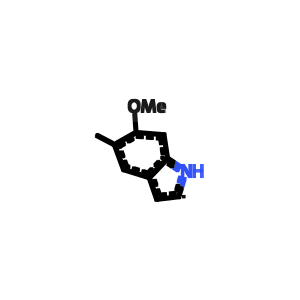 COc1cc2[nH][c]cc2cc1C